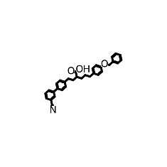 N#Cc1cccc(-c2ccc(CCC(CCCc3ccc(OCc4ccccc4)cc3)C(=O)O)cc2)c1